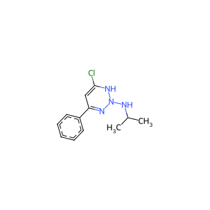 CC(C)NN1N=C(c2ccccc2)C=C(Cl)N1